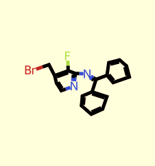 Fc1c(CBr)ccnc1N=C(c1ccccc1)c1ccccc1